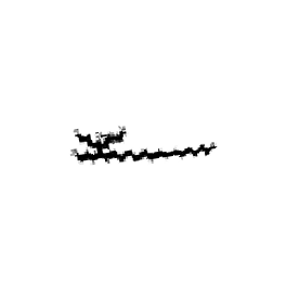 CCCCCCCCC=CCCCCCCC(CCCC)C(P)(CCCC)CCCC